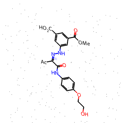 COC(=O)c1cc(N/N=C(/C(C)=O)C(=O)Nc2ccc(OCCO)cc2)cc(C(=O)O)c1